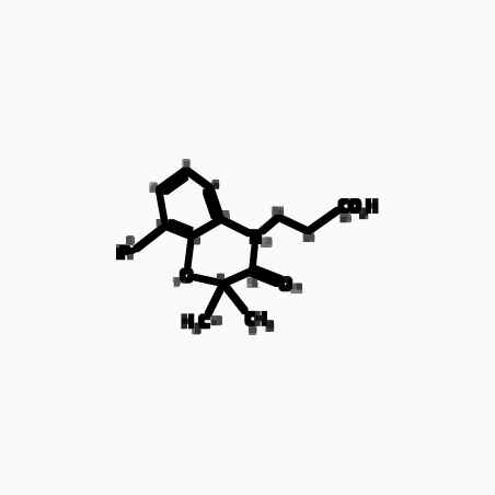 CC(C)c1cccc2c1OC(C)(C)C(=O)N2CCC(=O)O